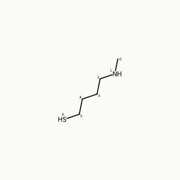 CNCCCCS